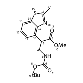 COC(=O)C(CNC(=O)OC(C)(C)C)c1cccc2sc(C)nc12